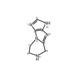 c1nc2c(nc3n2CCNC3)[nH]1